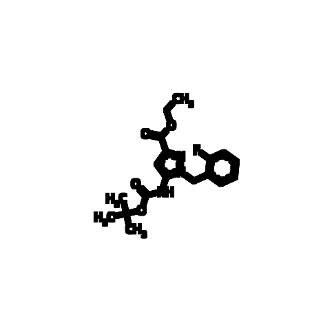 CCOC(=O)c1cc(NC(=O)OC(C)(C)C)n(Cc2ccccc2F)n1